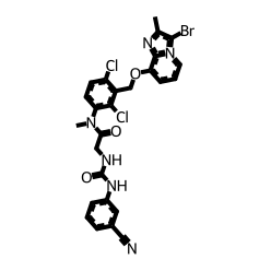 Cc1nc2c(OCc3c(Cl)ccc(N(C)C(=O)CNC(=O)Nc4cccc(C#N)c4)c3Cl)cccn2c1Br